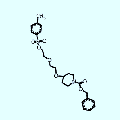 Cc1ccc(S(=O)(=O)OCCOCCOC2CCN(C(=O)OCc3ccccc3)CC2)cc1